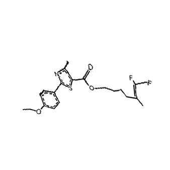 COc1ccc(-c2nc(C)c(C(=O)OCCCCC(C)=C(F)F)s2)cc1